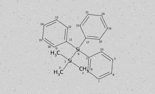 C[Si](C)(C)[Si](c1ccccc1)(c1ccccc1)c1ccccc1